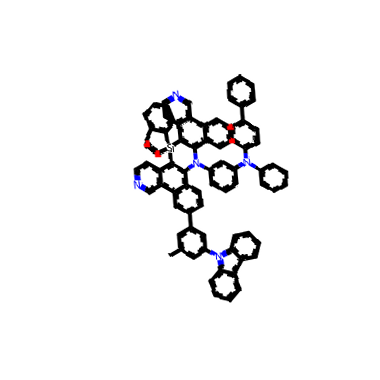 Cc1cc(-c2ccc3c4c(c5ccncc5c3c2)[Si]2(c3ccccc3-c3ccccc32)c2c(c3ccccc3c3cnccc23)N4c2cccc(N(c3ccccc3)c3ccc(-c4ccccc4)cc3)c2)cc(-n2c3ccccc3c3ccccc32)c1